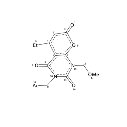 CCc1cc(=O)oc2c1c(=O)n(CC(C)=O)c(=O)n2COC